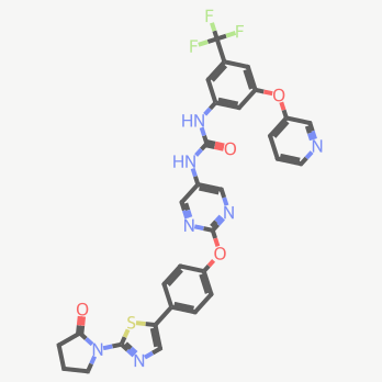 O=C(Nc1cnc(Oc2ccc(-c3cnc(N4CCCC4=O)s3)cc2)nc1)Nc1cc(Oc2cccnc2)cc(C(F)(F)F)c1